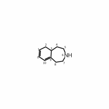 C1=CCC2CCNCCC2=C1